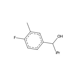 Cc1cc(C(O)C(C)C)ccc1F